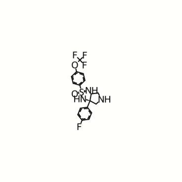 N=[S@](=O)(N[C@@]1(c2ccc(F)cc2)CCNC1)c1ccc(OC(F)(F)F)cc1